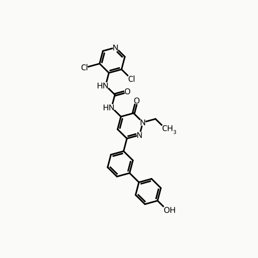 CCn1nc(-c2cccc(-c3ccc(O)cc3)c2)cc(NC(=O)Nc2c(Cl)cncc2Cl)c1=O